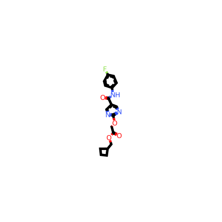 O=C(COc1ncc(C(=O)Nc2ccc(F)cc2)cn1)OCC1CCC1